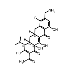 CN(C)[C@@H]1C(O)=C(C(N)=O)C(=O)[C@@]2(O)C(O)=C3C(=O)c4c(O)cc(CN)c(F)c4C[C@H]3C[C@@H]12